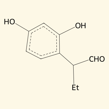 CCC(C=O)c1ccc(O)cc1O